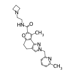 Cc1cccc(Cn2cc3c(n2)-c2c(oc(C(=O)NCCN4CCC4)c2C)CC3)n1